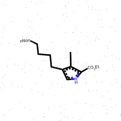 CCCCCCCCCCCCCc1c[nH]c(C(=O)OCC)c1C